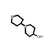 OC1CCN(C2CC[N]CC2)CC1